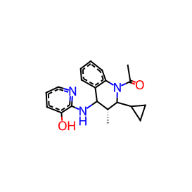 CC(=O)N1c2ccccc2C(Nc2ncccc2O)[C@@H](C)C1C1CC1